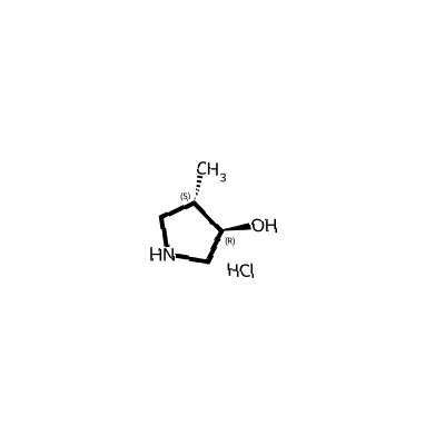 C[C@H]1CNC[C@@H]1O.Cl